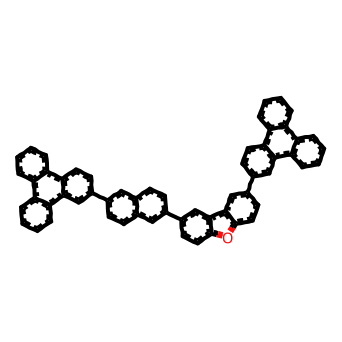 c1ccc2c(c1)c1ccccc1c1cc(-c3ccc4cc(-c5ccc6oc7ccc(-c8ccc9c%10ccccc%10c%10ccccc%10c9c8)cc7c6c5)ccc4c3)ccc21